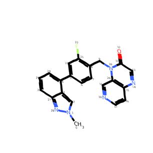 Cn1cc2c(-c3ccc(Cn4c(=O)cnc5ccncc54)c(F)c3)cccc2n1